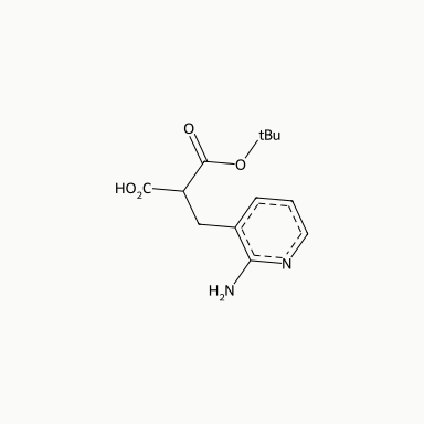 CC(C)(C)OC(=O)C(Cc1cccnc1N)C(=O)O